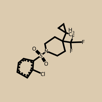 CC1(C2(C(F)(F)F)CCN(S(=O)(=O)c3ccccc3Cl)CC2)CC1